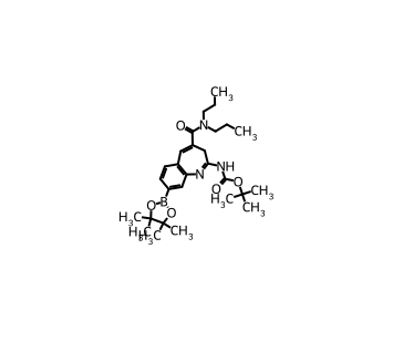 CCCN(CCC)C(=O)C1=Cc2ccc(B3OC(C)(C)C(C)(C)O3)cc2N=C(NC(=O)OC(C)(C)C)C1